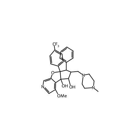 COc1cncc2c1C1(O)C(O)C(CN3CCN(C)CC3)C(c3ccccc3)C1(c1ccc(C(F)(F)F)cc1)O2